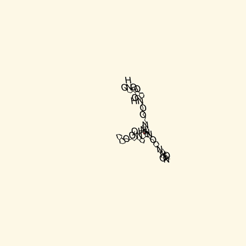 Cc1nn(C)c(COc2ccc(N3CCN(S(=O)(=O)N(C)C)CC3)cc2)c1-c1cccc2c(CCCOC3=c4ccccc4=CCC3)c(C(=O)O)n(CCN3CCN(CCCOCCOCCNc4cccc5c4C(=O)C(C4CCC(=O)NC4=O)C5=O)CC3)c12